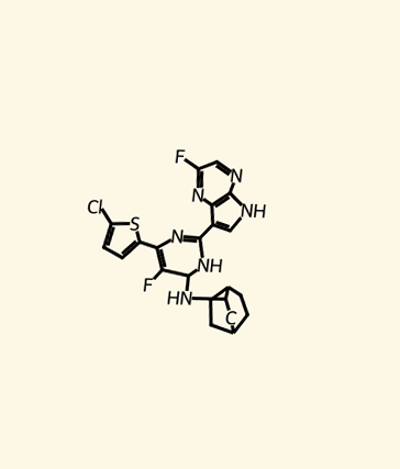 FC1=C(c2ccc(Cl)s2)N=C(c2c[nH]c3ncc(F)nc23)NC1NC1CC2CCC1CC2